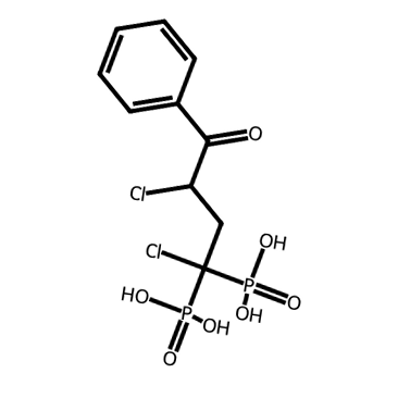 O=C(c1ccccc1)C(Cl)CC(Cl)(P(=O)(O)O)P(=O)(O)O